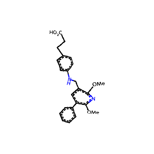 COc1nc(OC)c(-c2ccccc2)cc1CNc1ccc(CCC(=O)O)cc1